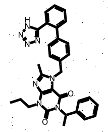 CCCn1c(=O)n(C(C)c2ccccc2)c(=O)c2c1nc(C)n2Cc1ccc(-c2ccccc2-c2nnn[nH]2)cc1